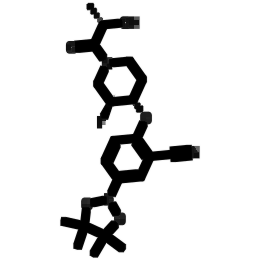 C[C@H](O)C(=O)N1CC[C@H](Oc2ccc(B3OC(C)(C)C(C)(C)O3)cc2C#N)[C@@H](F)C1